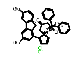 C=C(C[C]1([Zr+2]=[C](c2ccccc2)c2ccccc2)C=CC=C1c1cc(C(C)(C)C)cc2c1Cc1ccc(C(C)(C)C)cc1-2)C[Si](C)(C)C.[Cl-].[Cl-]